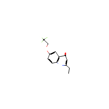 CCc1cc(=O)c2cc(OCC(F)(F)F)ccc2[nH]1